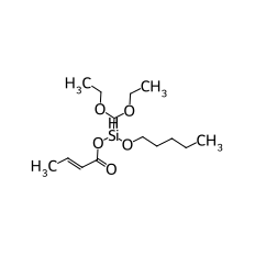 CC=CC(=O)O[SiH](OCCCCC)C(OCC)OCC